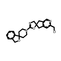 ClCc1cc2c(cn1)CC1(CN=C(N3CCC4(CC3)OCc3ccccc34)O1)C2